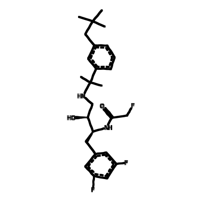 CC(C)(C)Cc1cccc(C(C)(C)NC[C@H](O)[C@H](Cc2cc(F)cc(F)c2)NC(=O)CF)c1